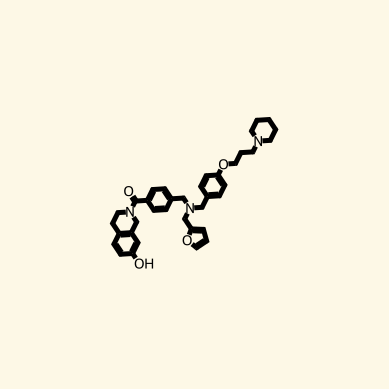 O=C(c1ccc(CN(Cc2ccc(OCCCN3CCCCC3)cc2)Cc2ccco2)cc1)N1CCc2ccc(O)cc2C1